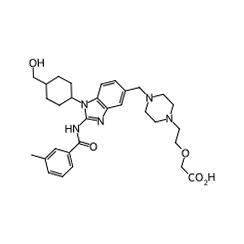 Cc1cccc(C(=O)Nc2nc3cc(CN4CCN(CCOCC(=O)O)CC4)ccc3n2C2CCC(CO)CC2)c1